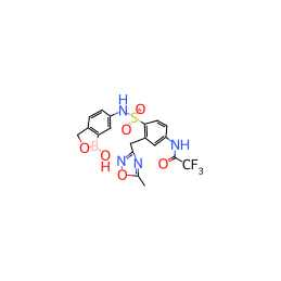 Cc1nc(Cc2cc(NC(=O)C(F)(F)F)ccc2S(=O)(=O)Nc2ccc3c(c2)B(O)OC3)no1